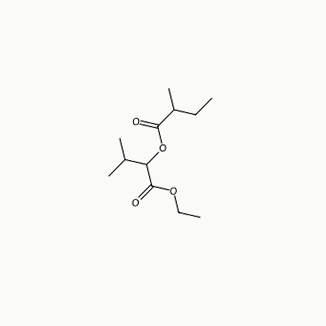 CCOC(=O)C(OC(=O)C(C)CC)C(C)C